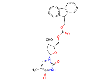 Cc1cn([C@H]2C[C@H](C=O)[C@@H](COC(=O)OCC3c4ccccc4-c4ccccc43)O2)c(=O)[nH]c1=O